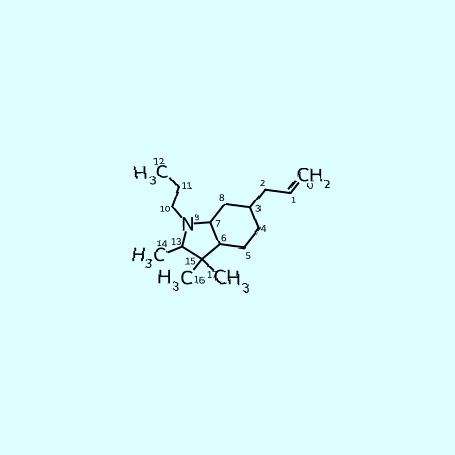 C=CCC1CCC2C(C1)N(CCC)C(C)C2(C)C